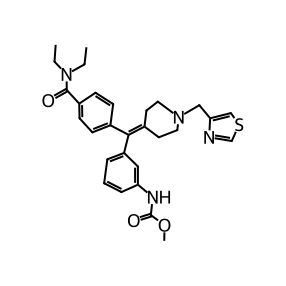 CCN(CC)C(=O)c1ccc(C(=C2CCN(Cc3cscn3)CC2)c2cccc(NC(=O)OC)c2)cc1